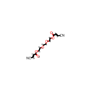 N#CC=CC(=O)OCCOCCOCCOC(=O)C=CC#N